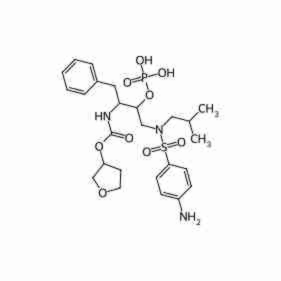 CC(C)CN(CC(OP(=O)(O)O)C(Cc1ccccc1)NC(=O)OC1CCOC1)S(=O)(=O)c1ccc(N)cc1